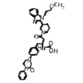 COCCCn1c(C2CCCN(C(=O)CC(Cc3ccc(N4CCN(c5ccccc5)C(=O)C4)cc3)NC(=O)O)C2)nc2ccccc21